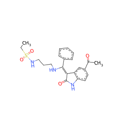 CCS(=O)(=O)NCCCN/C(=C1\C(=O)Nc2ccc(C(C)=O)cc21)c1ccccc1